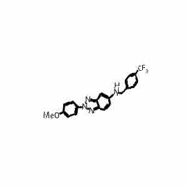 COc1ccc(-n2nc3ccc(NCc4ccc(C(F)(F)F)cc4)cc3n2)cc1